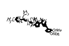 COc1ccc(-c2cnc(N)c(-c3ccc(N(F)/C(C)=C/N/C=C(\C)c4ncc(C)cn4)cc3)c2)cc1OC